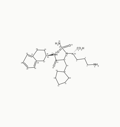 NCCC[C@@H](C(=O)O)N(C(CC1CCCCC1)C(=O)N[C@@H]1CCc2ccccc2C1)S(N)(=O)=O